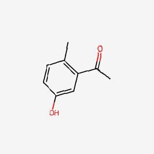 CC(=O)c1cc(O)ccc1C